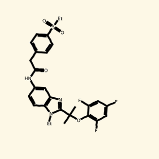 CCn1c(C(C)(C)Oc2c(F)cc(F)cc2F)nc2cc(NC(=O)Cc3ccc(S(=O)(=O)CC)cc3)ccc21